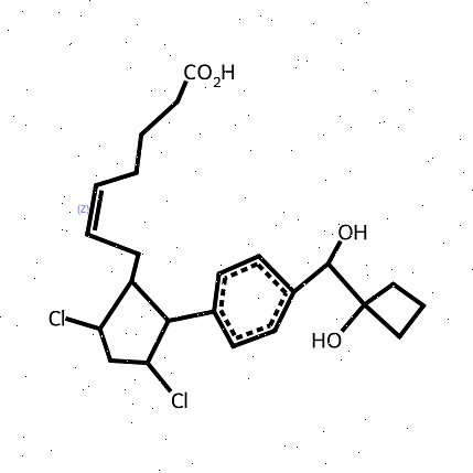 O=C(O)CCC/C=C\CC1C(Cl)CC(Cl)C1c1ccc(C(O)C2(O)CCC2)cc1